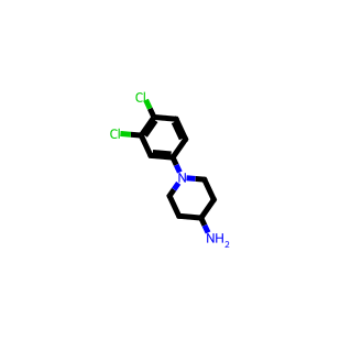 NC1CCN(c2ccc(Cl)c(Cl)c2)CC1